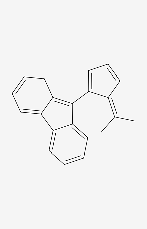 CC(C)=C1C=CC=C1C1=C2CC=CC=C2c2ccccc21